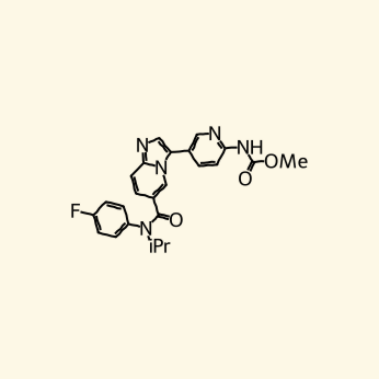 COC(=O)Nc1ccc(-c2cnc3ccc(C(=O)N(c4ccc(F)cc4)C(C)C)cn23)cn1